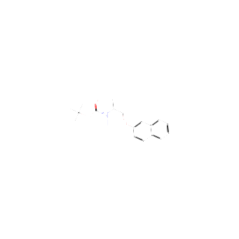 CC(COc1ccc2ccccc2c1)NC(=O)OC(C)(C)C